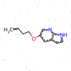 C=CCCOc1cnc2[nH]ccc2c1